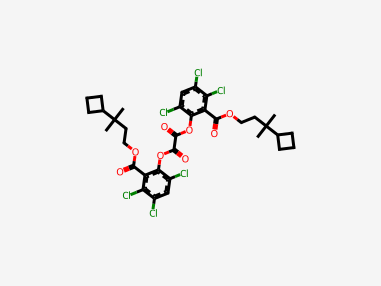 CC(C)(CCOC(=O)c1c(Cl)c(Cl)cc(Cl)c1OC(=O)C(=O)Oc1c(Cl)cc(Cl)c(Cl)c1C(=O)OCCC(C)(C)C1CCC1)C1CCC1